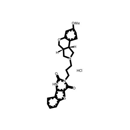 COc1ccc2c(c1)OC[C@H]1CN(CCCn3c(=O)[nH]c4c(sc5ccccc54)c3=O)C[C@@H]21.Cl